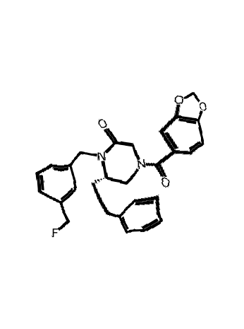 O=C(c1ccc2c(c1)OCO2)N1CC(=O)N(Cc2cccc(CF)c2)[C@@H](CCc2ccccc2)C1